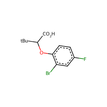 CC(C)(C)C(Oc1ccc(F)cc1Br)C(=O)O